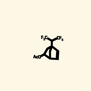 CC(=O)OC1CC2(C(C(F)(F)F)C(F)(F)F)C=CC1C2